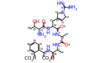 CC(NC(=O)C(C)NC(=O)C(CC1=CCN(C(=N)N)C1)NC(=O)C(N)C(C)O)C(=O)NC(C(=O)O)c1ccccc1C(=O)O